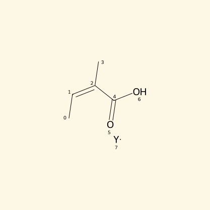 CC=C(C)C(=O)O.[Y]